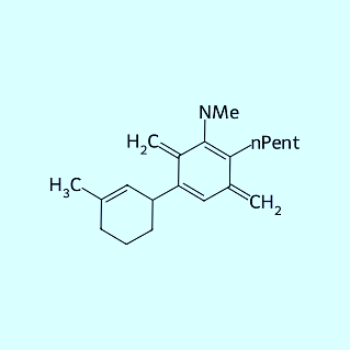 C=c1cc(C2C=C(C)CCC2)c(=C)c(NC)c1CCCCC